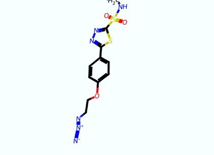 [CH2]NS(=O)(=O)c1nnc(-c2ccc(OCCN=[N+]=[N-])cc2)s1